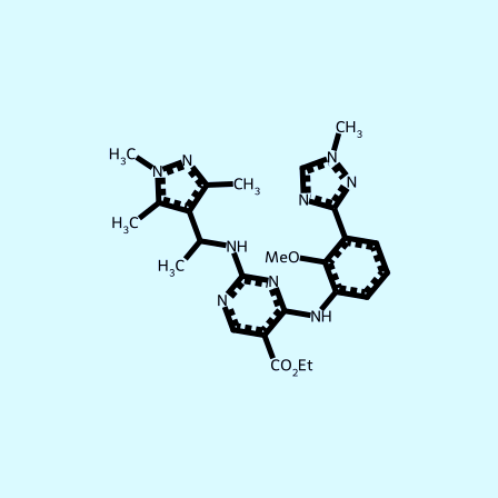 CCOC(=O)c1cnc(NC(C)c2c(C)nn(C)c2C)nc1Nc1cccc(-c2ncn(C)n2)c1OC